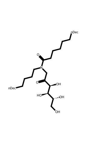 CCCCCCCCCCCCCCCC(=O)N(CCCCCCCCCCCCCC)CC(=O)[C@@H](O)[C@H](O)[C@H](O)CO